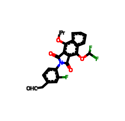 CC(C)Oc1c2c(c(OC(F)F)c3ccccc13)C(=O)N(c1ccc(CC=O)cc1F)C2=O